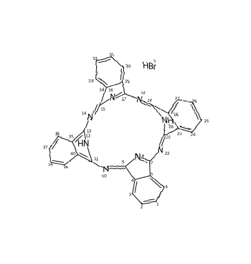 Br.c1ccc2c(c1)-c1nc-2nc2[nH]c(nc3nc(nc4[nH]c(n1)c1ccccc41)-c1ccccc1-3)c1ccccc21